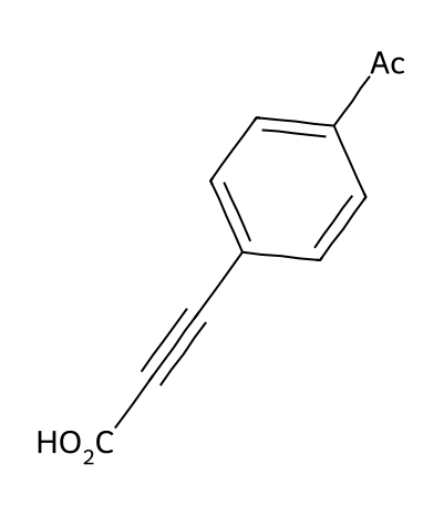 CC(=O)c1ccc(C#CC(=O)O)cc1